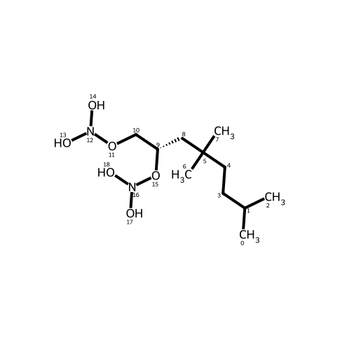 CC(C)CCC(C)(C)C[C@@H](CON(O)O)ON(O)O